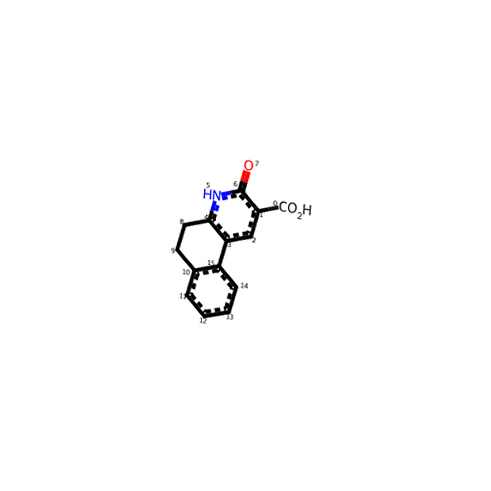 O=C(O)c1cc2c([nH]c1=O)CCc1ccccc1-2